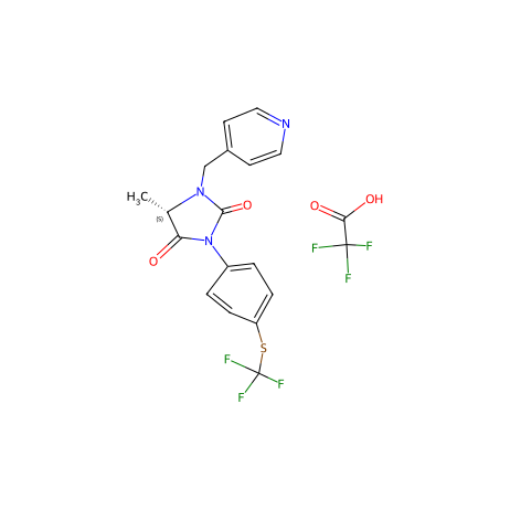 C[C@H]1C(=O)N(c2ccc(SC(F)(F)F)cc2)C(=O)N1Cc1ccncc1.O=C(O)C(F)(F)F